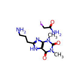 Cn1c(=O)c2[nH]c(CCCN)nc2n(C)c1=O.NC(=O)CI